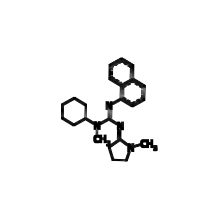 CN1CCCC1=NC(=Nc1cccc2ccccc12)N(C)C1CCCCC1